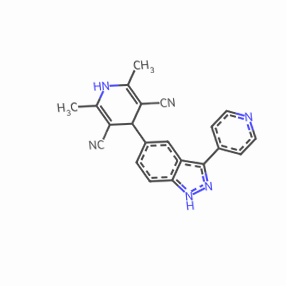 CC1=C(C#N)C(c2ccc3[nH]nc(-c4ccncc4)c3c2)C(C#N)=C(C)N1